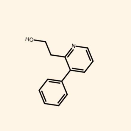 OCCc1ncccc1-c1ccccc1